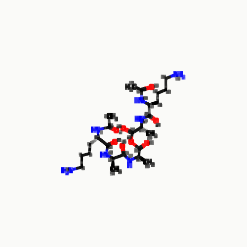 CC(=O)N[C@@H](CCCCN)C(=O)N[C@H](C)C(=O)N[C@H](C)C(=O)OC(=O)[C@@H](C)NC(=O)[C@H](CCCCN)NC(C)=O